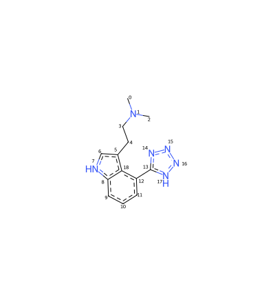 CN(C)CCc1c[nH]c2cccc(-c3nnn[nH]3)c12